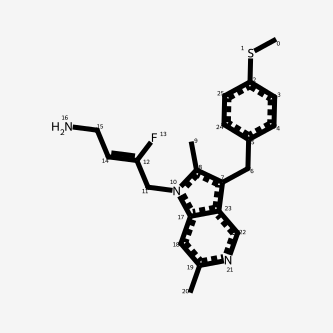 CSc1ccc(Cc2c(C)n(C/C(F)=C/CN)c3cc(C)ncc23)cc1